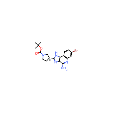 CC(C)(C)OC(=O)N1CC[C@@H](c2nc3c(N)nc4cc(Br)ccc4c3[nH]2)C1